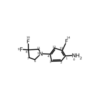 Nc1ccc(N2CCC(F)(F)C2)cc1F